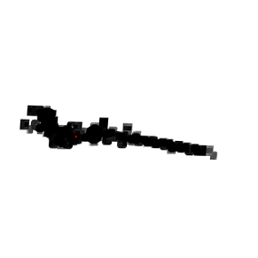 CCc1c2c(nc3ccc(O)cc13)-c1cc3c(c(=O)n1C2)COC(=O)C3(CC)OC(=O)OCc1ccc(NC(=O)COCC(=O)NCCOCCOCCOCCOCCOCCN)cc1